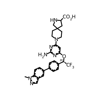 Cn1ncc2cc(-c3ccc([C@@H](Oc4cc(N5CCC6(CC5)CNC(C(=O)O)C6)nc(N)n4)C(F)(F)F)cc3)ccc21